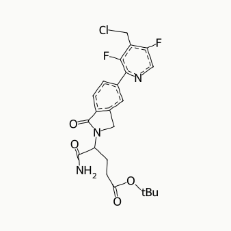 CC(C)(C)OC(=O)CCC(C(N)=O)N1Cc2cc(-c3ncc(F)c(CCl)c3F)ccc2C1=O